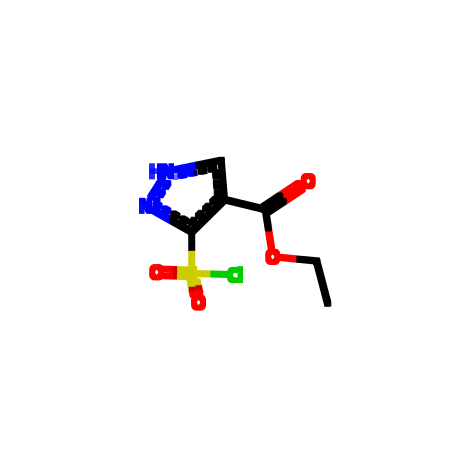 CCOC(=O)c1c[nH]nc1S(=O)(=O)Cl